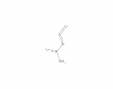 NC(=S)N=S=O